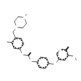 CCOc1cc(Oc2ccc(NC(=O)Nc3ccc(CN4CCN(CC)CC4)c(C(F)(F)F)c3)cc2)c[nH]c1=O.Cl.Cl